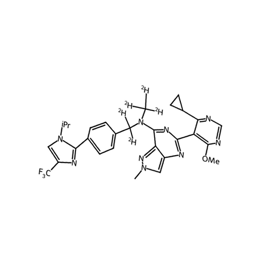 [2H]C([2H])([2H])N(c1nc(-c2c(OC)ncnc2C2CC2)nc2cn(C)nc12)C([2H])([2H])c1ccc(-c2nc(C(F)(F)F)cn2C(C)C)cc1